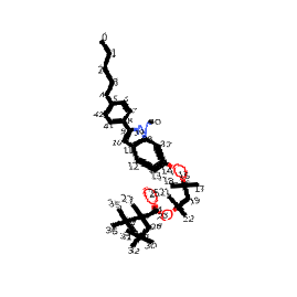 CCCCCc1ccc(-c2cc3ccc(OC(C)(C)CC(C)(C)OC(=O)C(C)(CC(C)(C)C)C(C)(C)C)cc3n2C)cc1